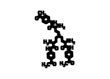 CC(=O)c1ccc(NC(=O)C(N)CCN(CCC(N)C(=O)Nc2ccc(C(C)=O)cc2)CCC(N)C(=O)Nc2ccc(C(C)=O)cc2)cc1